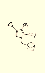 O=C(O)c1c(C(F)(F)F)c(C2CC2)nn1CC12CC(CO1)C2